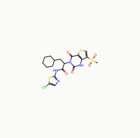 CS(=O)(=O)c1csc2c(=O)n(C(CC3CCCCC3)C(=O)Nc3ncc(Cl)s3)c(=O)[nH]c12